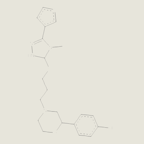 CN1C(c2ccsc2)=NNC1SCCCN1CCOC(c2ccc(C(F)(F)F)cc2)C1